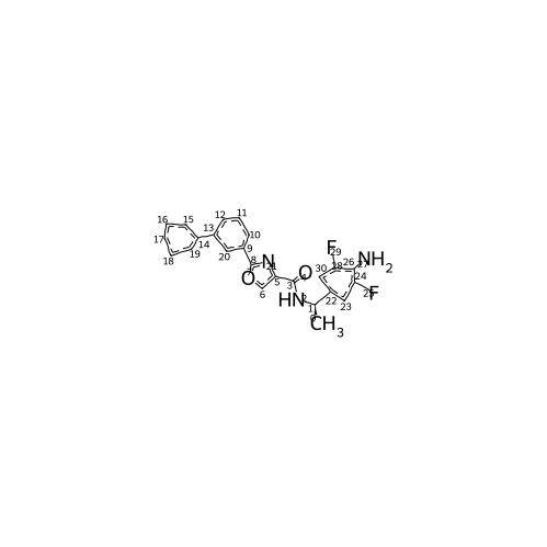 C[C@@H](NC(=O)c1coc(-c2cccc(-c3ccccc3)c2)n1)c1cc(F)c(N)c(F)c1